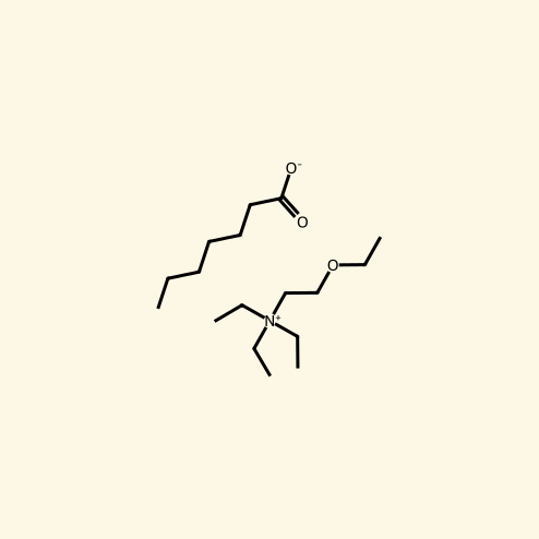 CCCCCCC(=O)[O-].CCOCC[N+](CC)(CC)CC